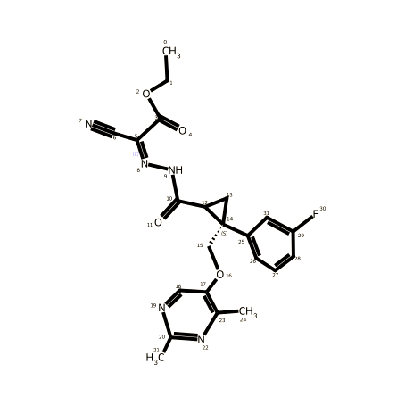 CCOC(=O)/C(C#N)=N\NC(=O)C1C[C@@]1(COc1cnc(C)nc1C)c1cccc(F)c1